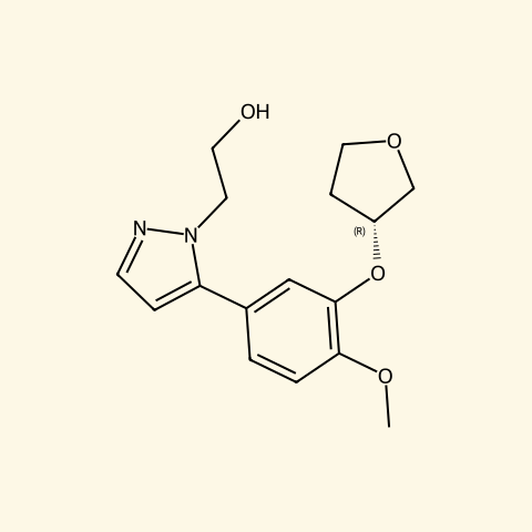 COc1ccc(-c2ccnn2CCO)cc1O[C@@H]1CCOC1